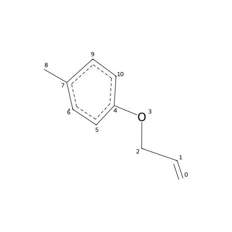 C=CCOc1c[c]c(C)cc1